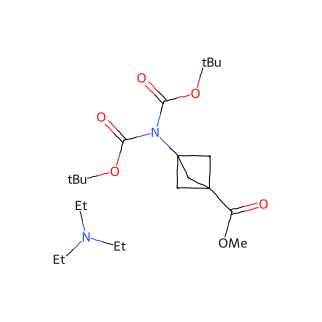 CCN(CC)CC.COC(=O)C12CC(N(C(=O)OC(C)(C)C)C(=O)OC(C)(C)C)(C1)C2